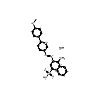 COc1ccc(-c2ccc(/N=N/c3cc(S(=O)(=O)O)c4ccccc4c3N)cn2)cc1.[NaH]